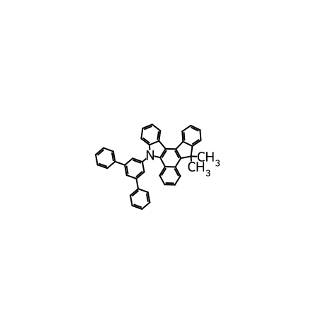 CC1(C)c2ccccc2-c2c1c1ccccc1c1c2c2ccccc2n1-c1cc(-c2ccccc2)cc(-c2ccccc2)c1